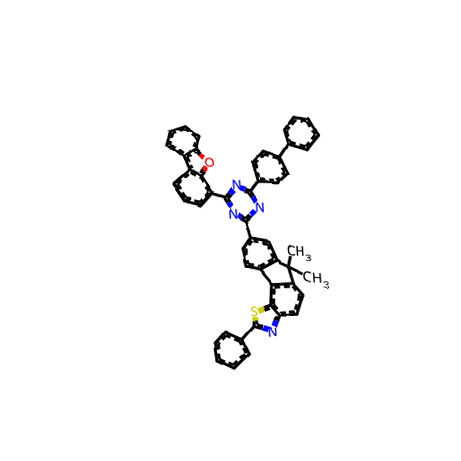 CC1(C)c2cc(-c3nc(-c4ccc(-c5ccccc5)cc4)nc(-c4cccc5c4oc4ccccc45)n3)ccc2-c2c1ccc1nc(-c3ccccc3)sc21